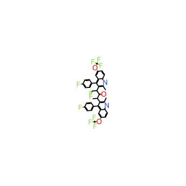 Cc1nc2ccc(OC(F)(F)F)cc2c(-c2ccc(F)cc2)c1C(CF)C(=O)C(CF)c1c(C)nc2ccc(OC(F)(F)F)cc2c1-c1ccc(F)cc1